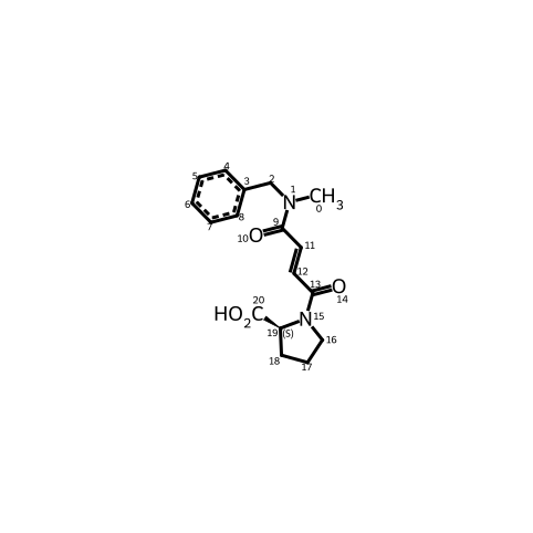 CN(Cc1ccccc1)C(=O)C=CC(=O)N1CCC[C@H]1C(=O)O